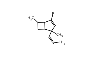 C/N=C\C1(C)C=C(F)C2C(C)CC21